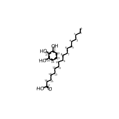 CCCCCCCCCCCCCCCCCC(=O)O.Oc1cccc(O)c1O